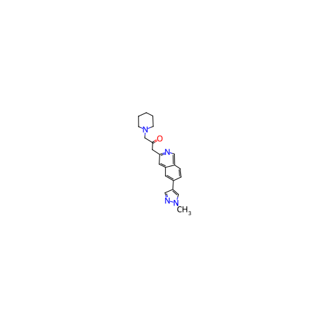 Cn1cc(-c2ccc3cnc(CC(=O)CN4CCCCC4)cc3c2)cn1